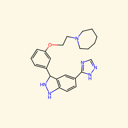 c1cc(OCCN2CCCCCC2)cc(C2NNc3ccc(-c4ncn[nH]4)cc32)c1